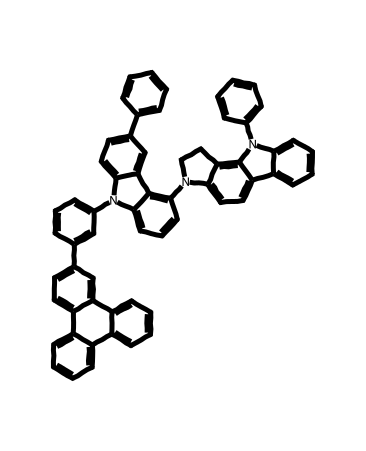 c1ccc(-c2ccc3c(c2)c2c(N4CCc5c4ccc4c6ccccc6n(-c6ccccc6)c54)cccc2n3-c2cccc(-c3ccc4c5ccccc5c5ccccc5c4c3)c2)cc1